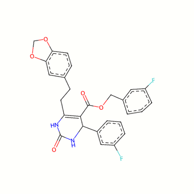 O=C1NC(CCc2ccc3c(c2)OCO3)=C(C(=O)OCc2cccc(F)c2)C(c2cccc(F)c2)N1